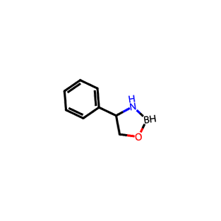 B1NC(c2ccccc2)CO1